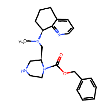 CN(C[C@@H]1CNCCN1C(=O)OCc1ccccc1)[C@H]1CCCc2cccnc21